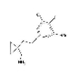 CC(C)(C)c1cc(CCC2(CN)CC2)cc(Cl)c1F